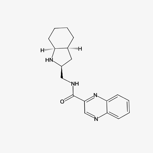 O=C(NC[C@@H]1C[C@@H]2CCCC[C@@H]2N1)c1cnc2ccccc2n1